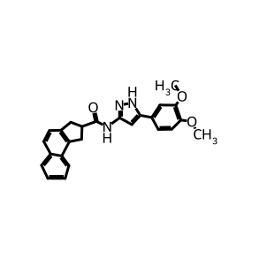 COc1ccc(-c2cc(NC(=O)C3Cc4ccc5ccccc5c4C3)n[nH]2)cc1OC